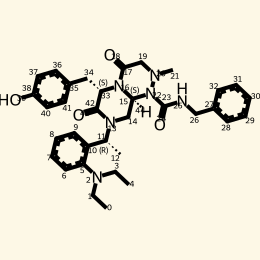 CCN(CC)c1ccccc1[C@@H](C)N1C[C@H]2N(C(=O)CN(C)N2C(=O)NCc2ccccc2)[C@@H](Cc2ccc(O)cc2)C1=O